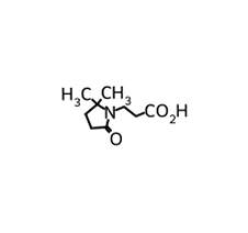 CC1(C)CCC(=O)N1CCC(=O)O